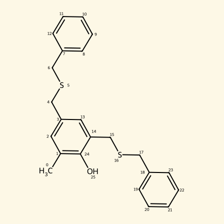 Cc1cc(CSCc2ccccc2)cc(CSCc2ccccc2)c1O